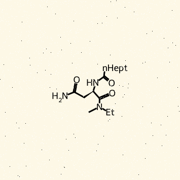 CCCCCCCC(=O)N[C@H](CC(N)=O)C(=O)N(C)CC